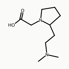 CN(C)CCC1CCCN1CC(=O)O